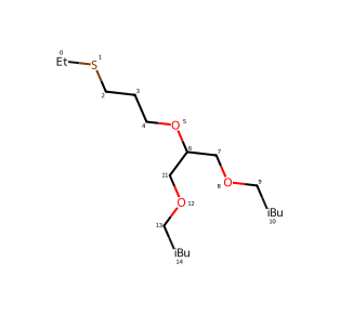 CCSCCCOC(COCC(C)CC)COCC(C)CC